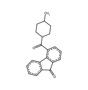 CC1CCN(C(=O)c2cccc3c2-c2ccccc2C3=O)CC1